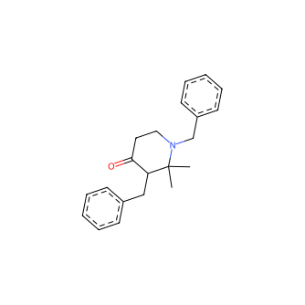 CC1(C)C(Cc2ccccc2)C(=O)CCN1Cc1ccccc1